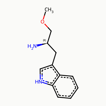 COC[C@H](N)Cc1c[nH]c2ccccc12